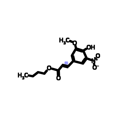 CCCCOC(=O)/C=C/c1cc(OC)c(O)c([N+](=O)[O-])c1